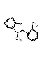 Cc1ccccc1C1Sc2ccccc2N1C